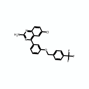 Nc1nc(-c2cccc(OCc3ccc(C(F)(F)F)cc3)c2)c2cc(Cl)ccc2n1